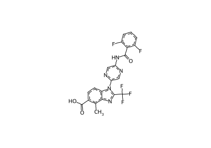 Cc1c(C(=O)O)ccc2c1nc(C(F)(F)F)n2-c1cnc(NC(=O)c2c(F)cccc2F)cn1